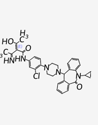 CC(=N)/C(C(=O)Nc1ccc(N2CCN(C3c4ccccc4C(=O)N(C4CC4)c4ccccc43)CC2)c(Cl)c1)=C(/C)O